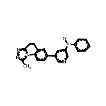 Cc1nnc2n1-c1ccc(-c3cncc([S+]([O-])c4ccccc4)c3)cc1CC2